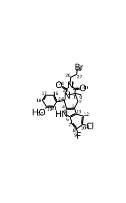 CC12Cc3c([nH]c4cc(F)c(Cl)cc34)C(c3cccc(O)c3)N1C(=O)N(CCBr)C2=O